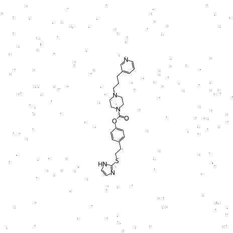 O=C(Oc1ccc(CCSc2ncc[nH]2)cc1)N1CCN(CCCc2cccnc2)CC1